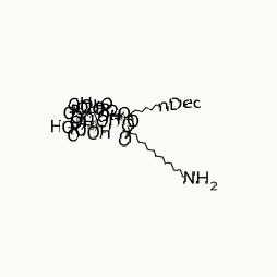 CCCCCCCCCCCCCCCC(=O)O[C@H](COC(=O)CCCCCCCCCCCCN)COP(=O)(O)OC1C(O)[C@H](O)C(OP(=O)(O)O)[C@H](OP(=O)(O)O)[C@@H]1O